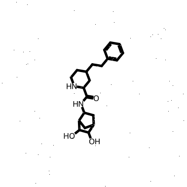 O=C(NC1CC2CC1C(O)C2O)C1CC(CCc2ccccc2)CCN1